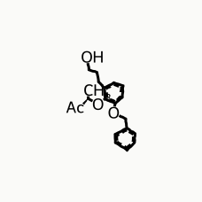 CC(=O)[C@@H](C)Oc1c(CCCO)cccc1OCc1ccccc1